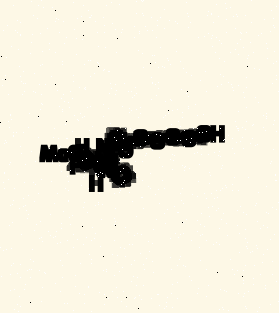 COc1ccc(Nc2nc(C3CCCCCC3)nc(N(N)CC3CCCN3C(=O)CCOCCOCCOCCOCCO)n2)cc1F